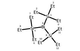 CC[Si](CC)(CC)[Bi]([Si](CC)(CC)CC)[Si](CC)(CC)CC